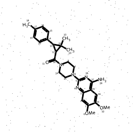 COc1cc2nc(N3CCN(C(=O)C4C(c5ccc(C)cc5)C4(C)C)CC3)nc(N)c2cc1OC